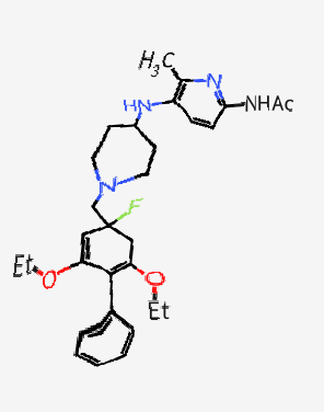 CCOC1=CC(F)(CN2CCC(Nc3ccc(NC(C)=O)nc3C)CC2)CC(OCC)=C1c1ccccc1